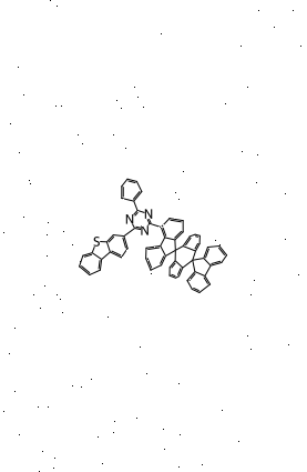 c1ccc(-c2nc(-c3ccc4c(c3)sc3ccccc34)nc(-c3cccc4c3-c3ccccc3C43c4ccccc4C4(c5ccccc5-c5ccccc54)c4ccccc43)n2)cc1